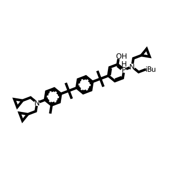 CCC(C)CN(CC1CC1)[PH]1=C(O)C=C(C(C)(C)c2ccc(C(C)(C)c3ccc(N(CC4CC4)CC4CC4)c(C)c3)cc2)C=C1